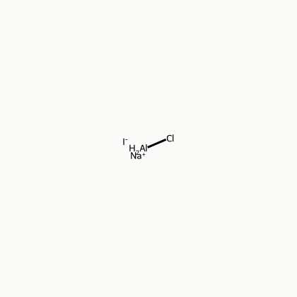 [AlH2][Cl].[I-].[Na+]